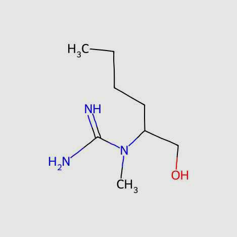 CCCCC(CO)N(C)C(=N)N